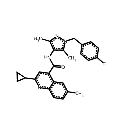 Cc1ccc2nc(C3CC3)cc(C(=O)Nc3c(C)nn(Cc4ccc(F)cc4)c3C)c2c1